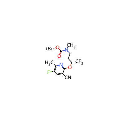 Cc1nc(O[C@H](CCN(C)C(=O)OC(C)(C)C)C(F)(F)F)c(C#N)cc1F